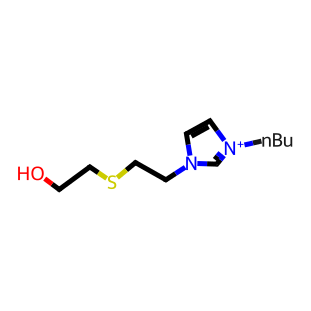 CCCC[n+]1ccn(CCSCCO)c1